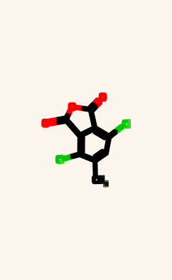 Cc1cc(Cl)c2c(c1Cl)C(=O)OC2=O